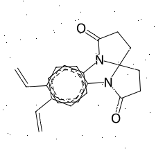 C=Cc1ccc(N2C(=O)CCC23CCC(=O)N3c2ccc(C=C)cc2)cc1